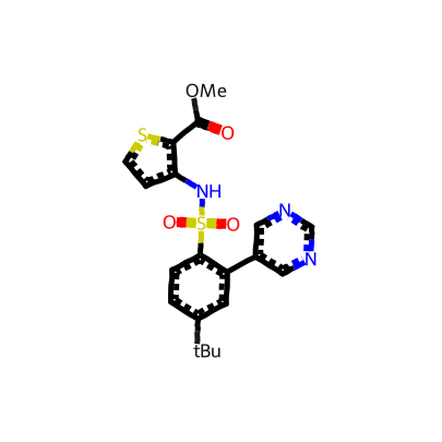 COC(=O)c1sccc1NS(=O)(=O)c1ccc(C(C)(C)C)cc1-c1cncnc1